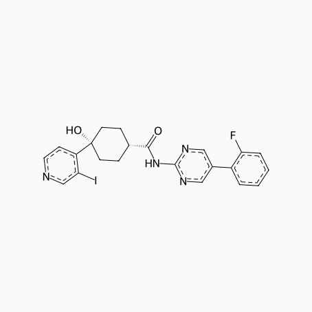 O=C(Nc1ncc(-c2ccccc2F)cn1)[C@H]1CC[C@](O)(c2ccncc2I)CC1